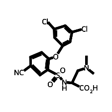 CN(C)CC(NS(=O)(=O)c1cc(C#N)ccc1Oc1cc(Cl)cc(Cl)c1)C(=O)O